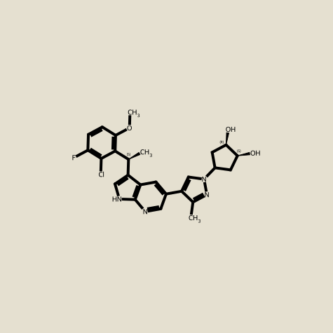 COc1ccc(F)c(Cl)c1[C@@H](C)c1c[nH]c2ncc(-c3cn(C4C[C@@H](O)[C@@H](O)C4)nc3C)cc12